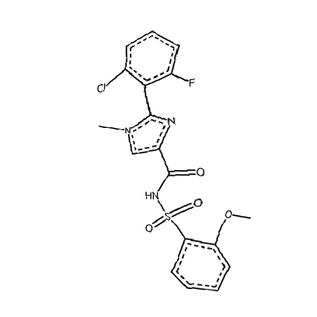 COc1ccccc1S(=O)(=O)NC(=O)c1cn(C)c(-c2c(F)cccc2Cl)n1